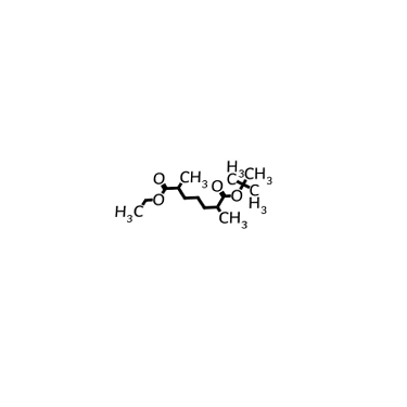 CCOC(=O)C(C)CCCC(C)C(=O)OC(C)(C)C